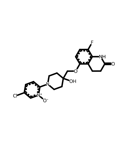 O=C1CCc2c(OCC3(O)CCN(c4ccc(Cl)c[n+]4[O-])CC3)ccc(F)c2N1